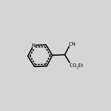 CCOC(=O)C(C#N)c1cccnc1